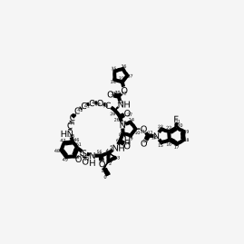 C=C[C@@H]1C[C@@]12NC(=O)[C@@H]1C[C@@H](OC(=O)N3Cc4cccc(F)c4C3)CN1C(=O)[C@H](NC(=O)OC1CCCC1)COCCCCCNc1ccccc1S(=O)(=O)NC2=O